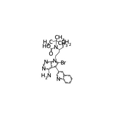 C=CC(CCn1c(Br)c(-c2cnc3ccccc3c2)c2c(N)ncnc21)N(C(=O)O)C(C)(C)C